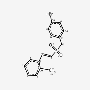 O=S(=O)(C=Cc1ccccc1C(F)(F)F)Cc1ccc(Br)cc1